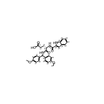 COc1ccc(C(NC(=O)[C@H](CCC(=O)O)NC(=O)c2cc3ccccc3[nH]2)c2ccc(OC)cc2)cc1